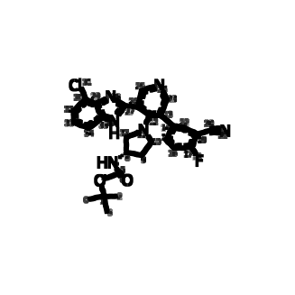 CC(C)(C)OC(=O)N[C@H]1CCN(c2c(-c3ccc(F)c(C#N)c3)cncc2-c2nc3c(Cl)cccc3[nH]2)C1